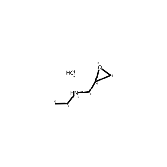 CCNCC1CO1.Cl